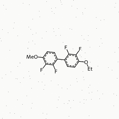 CCOc1ccc(-c2ccc(OC)c(F)c2F)c(F)c1F